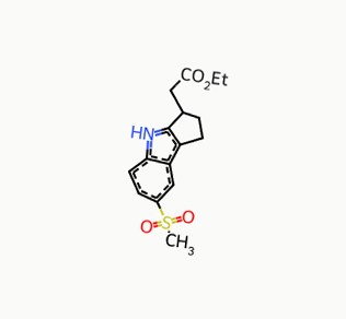 CCOC(=O)CC1CCc2c1[nH]c1ccc(S(C)(=O)=O)cc21